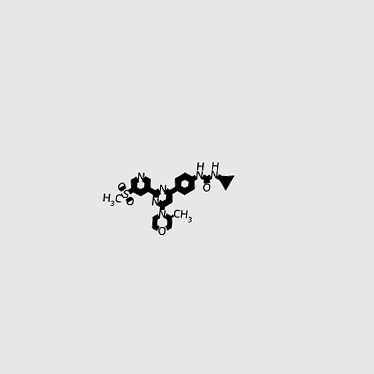 C[C@H]1COCCN1c1cc(-c2ccc(NC(=O)NC3CC3)cc2)nc(-c2cncc(S(C)(=O)=O)c2)n1